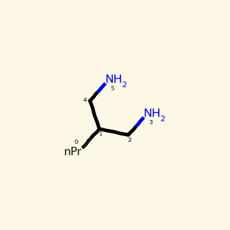 CCC[C](CN)CN